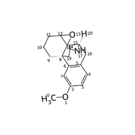 COc1ccc2c(c1)[C@@]13CCCC4OC41[C@@H](C2)NCC3